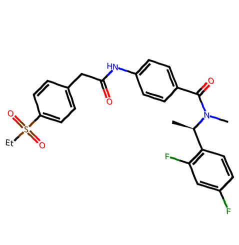 CCS(=O)(=O)c1ccc(CC(=O)Nc2ccc(C(=O)N(C)[C@H](C)c3ccc(F)cc3F)cc2)cc1